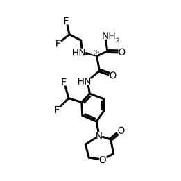 NC(=O)[C@H](NCC(F)F)C(=O)Nc1ccc(N2CCOCC2=O)cc1C(F)F